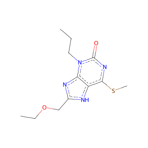 CCCn1c(=O)nc(SC)c2[nH]c(COCC)nc21